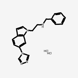 Cl.Cl.c1ccc(CNCCn2ccc3ccc(-n4cnnc4)cc32)cc1